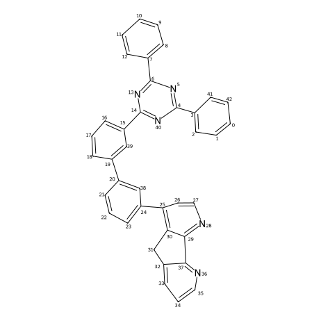 c1ccc(-c2nc(-c3ccccc3)nc(-c3cccc(-c4cccc(-c5ccnc6c5Cc5cccnc5-6)c4)c3)n2)cc1